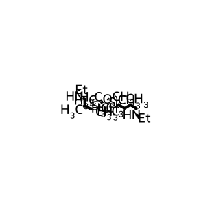 CCNCC(C)CC(C)(C)[Si](C)(C)OC(C)(C)[Si](C)(C)CC(C)CNCC